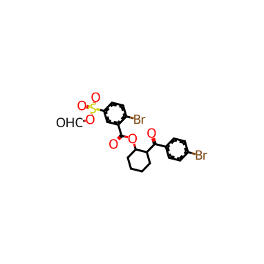 O=COS(=O)(=O)c1ccc(Br)c(C(=O)OC2CCCCC2C(=O)c2ccc(Br)cc2)c1